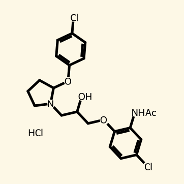 CC(=O)Nc1cc(Cl)ccc1OCC(O)CN1CCCC1Oc1ccc(Cl)cc1.Cl